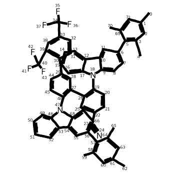 Cc1cc(C)c(-c2ccc3c(c2)c2ccccc2n3-c2ccc(C#N)cc2-c2cc(-c3ccc(C(F)(F)F)cc3C(F)(F)F)ccc2-n2c3ccccc3c3cc(-c4c(C)cc(C)cc4C)ccc32)c(C)c1